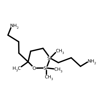 CC1(CCCN)CC[Si](C)(CCCN)[Si](C)(C)O1